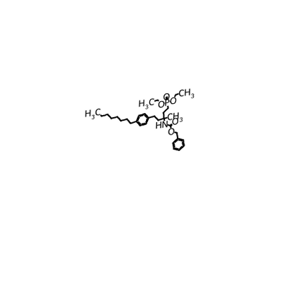 CCCCCCCCc1ccc(CCC(C)(CCP(=O)(OCC)OCC)NC(=O)OCc2ccccc2)cc1